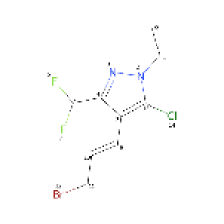 CCn1nc(C(F)F)c(/C=C/CBr)c1Cl